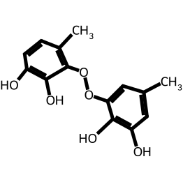 Cc1cc(O)c(O)c(OOc2c(C)ccc(O)c2O)c1